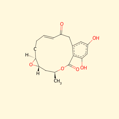 C[C@H]1C[C@@H]2O[C@H]2CC/C=C/C(=O)Cc2cc(O)cc(O)c2C(=O)O1